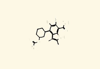 Cc1[nH]c2c(C(N)=O)c(F)c(F)c(C3CCCC(OC(N)=O)C3)c2c1C